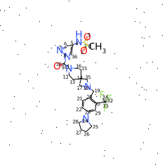 CS(=O)(=O)Nc1cnn(C(=O)N2CCC3(CC2)CN(Cc2ccc(N4CCCC4)cc2C(F)(F)F)C3)c1